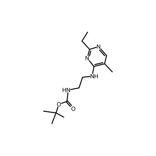 CCc1ncc(C)c(NCCNC(=O)OC(C)(C)C)n1